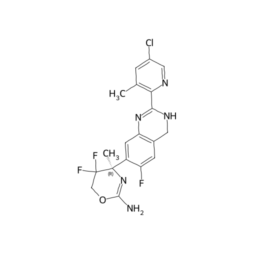 Cc1cc(Cl)cnc1C1=Nc2cc([C@@]3(C)N=C(N)OCC3(F)F)c(F)cc2CN1